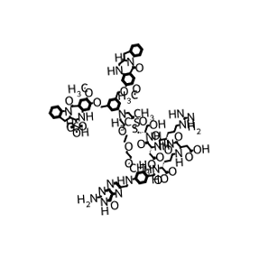 COCCOCCOCCN(CC(C)(C)SSC[C@@H](NC(=O)[C@@H](CC(=O)O)NC(=O)[C@@H](CCCNC(=N)N)NC(=O)C(CC(=O)O)NC(=O)CC[C@@H](NC(=O)c1ccc(NCc2cnc3nc(N)[nH]c(=O)c3n2)cc1)C(=O)O)C(=O)O)c1cc(COc2cc3c(cc2OC)C(=O)N2c4ccccc4C[C@H]2CN3)cc(COc2cc3c(cc2OC)C(=O)N2c4ccccc4C[C@H]2C(S(=O)(=O)O)N3)c1